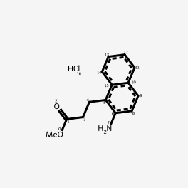 COC(=O)CCc1c(N)ccc2ccccc12.Cl